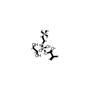 C=C(C)C(=O)OP(=O)([O-])OCC[N+](C)(C)C.OCCO